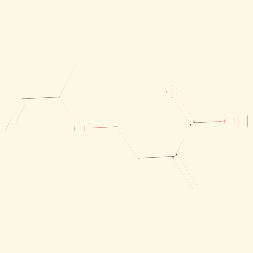 C=CC(C)OCCC(=C)C(=O)O